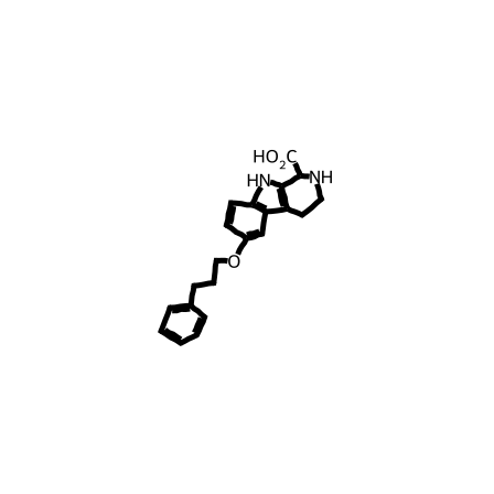 O=C(O)C1NCCc2c1[nH]c1ccc(OCCCc3ccccc3)cc21